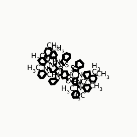 Cc1ccccc1N(c1cc2c3c(n1)N(c1ccc4c(c1)C(C)(C)CCC4(C)C)c1c(sc4ccccc14)B3c1cc3c(cc1O2)N(c1ccccc1)c1cc(N(c2ccccc2C)c2c(C)cccc2C)nc2c1B3c1sc3ccccc3c1N2c1ccc2c(c1)C(C)(C)CCC2(C)C)c1c(C)cccc1C